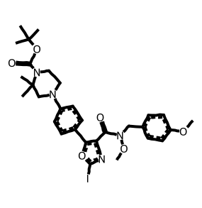 COc1ccc(CN(OC)C(=O)c2nc(I)oc2-c2ccc(N3CCN(C(=O)OC(C)(C)C)C(C)(C)C3)cc2)cc1